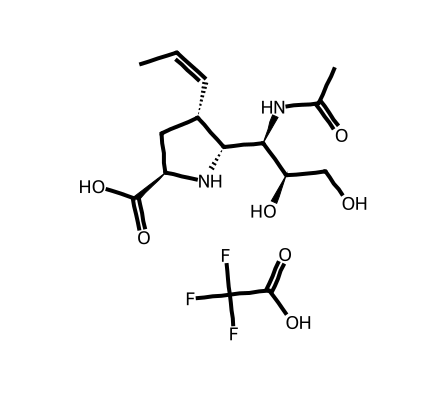 C/C=C\[C@H]1C[C@H](C(=O)O)N[C@H]1[C@@H](NC(C)=O)[C@H](O)CO.O=C(O)C(F)(F)F